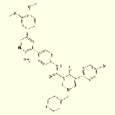 COc1ccc(-c2cnc(N)c(-c3ccc(NC(=O)c4cn(CC5CCOCC5)cc(-c5ncc(Br)cn5)c4=O)cc3)c2)cc1OC